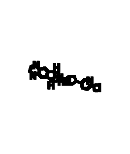 Clc1ccc(C2CC3NC2CC3N2C[C@H]3C[C@@H](C2)c2cc4nccnc4cc23)cn1